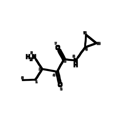 CCC(N)C(=O)C(=O)NC1CC1